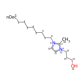 CCCCCCCCCCCCCCCCCCn1cc[n+](CCCO)c1C